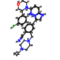 CN1CCN(Cc2cc(-c3cnc4ccc(N5CCOCC5c5cccc(F)c5)nn34)ccc2C#N)CC1